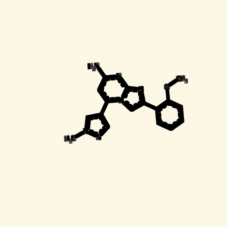 COc1ccccc1-c1cn2c(-c3cnn(C)c3)cc(N)nc2n1